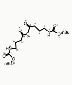 CCCCOC(=O)NCCCC(=O)OC(=O)CCCNC(=O)OCCCC